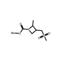 CC1C(CS(C)(=O)=O)CN1C(=O)OC(C)(C)C